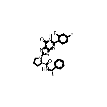 C[C@@H](NC(=O)[C@H]1CCCN1c1nc2c(=O)[nH]c(-c3ccc(F)cc3F)nc2s1)c1ccccc1